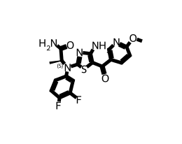 COc1ccc(C(=O)c2sc(N(c3ccc(F)c(F)c3)[C@@H](C)C(N)=O)nc2N)cn1